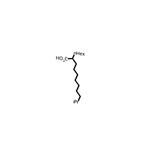 CCCCCCC(CCCCCCCC(C)C)C(=O)O